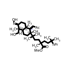 CCCC(C)(C)CC[C@@](C)(CCC(C)(C)[C@]1(C)CC[C@H]2[C@](C)(CO)C(=NO)CC[C@]2(C)/C1=C/C(C)=O)C(=O)OC